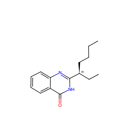 CCCC[C@@H](CC)c1nc2ccccc2c(=O)[nH]1